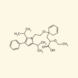 CCOC(CC1(OCCn2c(C(C)C)cc(-c3ccccc3)c2C(C)C)C=CC=CC1)C(=O)O